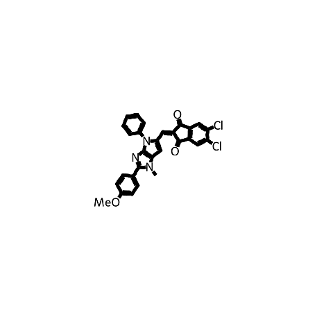 COc1ccc(-c2nc3c(cc(C=C4C(=O)c5cc(Cl)c(Cl)cc5C4=O)n3-c3ccccc3)n2C)cc1